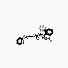 Nc1ccccc1N(N)OC(=O)OCCSSc1ccccn1